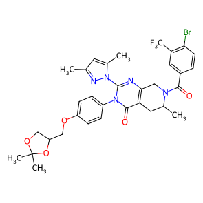 Cc1cc(C)n(-c2nc3c(c(=O)n2-c2ccc(OCC4COC(C)(C)O4)cc2)CC(C)N(C(=O)c2ccc(Br)c(C(F)(F)F)c2)C3)n1